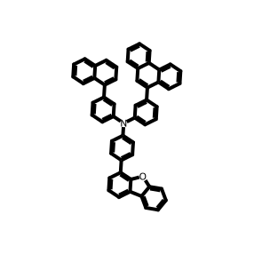 c1cc(-c2cccc3ccccc23)cc(N(c2ccc(-c3cccc4c3oc3ccccc34)cc2)c2cccc(-c3cc4ccccc4c4ccccc34)c2)c1